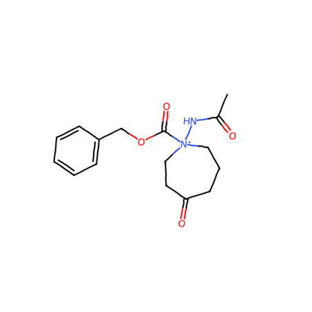 CC(=O)N[N+]1(C(=O)OCc2ccccc2)CCCC(=O)CC1